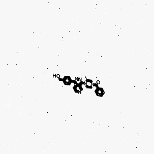 C[C@@H]1CN(C(=O)c2ccccc2)CCN1c1nnc(-c2ccc(CO)cc2)c2ccncc12